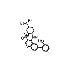 CCN(CC)C1CCC(Nc2c(S(C)(=O)=O)cnc3ccc(-c4ccccc4O)cc23)CC1